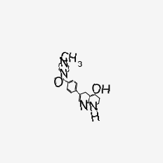 CN1CCN(C(=O)c2ccc(C3=CN=C4NCCC(O)C4C3)cc2)CC1